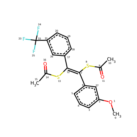 COc1cccc(/C(SC(C)=O)=C(\SC(C)=O)c2cccc(C(F)(F)F)c2)c1